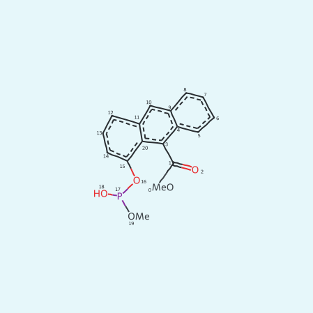 COC(=O)c1c2ccccc2cc2cccc(OP(O)OC)c12